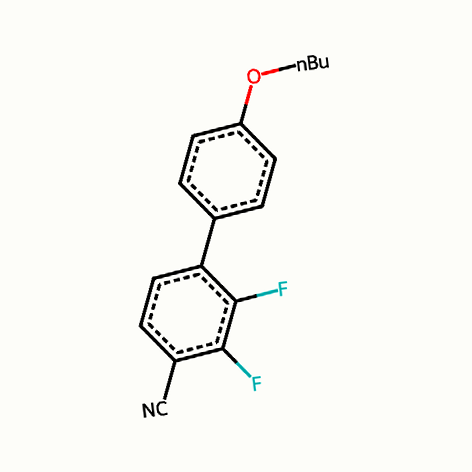 CCCCOc1ccc(-c2ccc(C#N)c(F)c2F)cc1